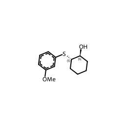 COc1cccc(S[C@H]2CCCC[C@@H]2O)c1